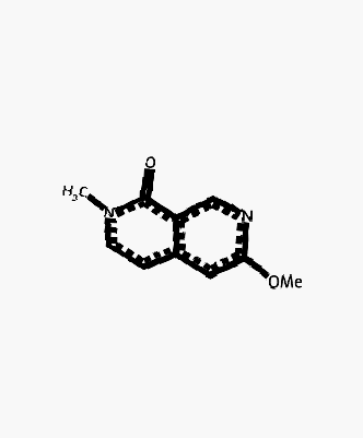 COc1cc2ccn(C)c(=O)c2cn1